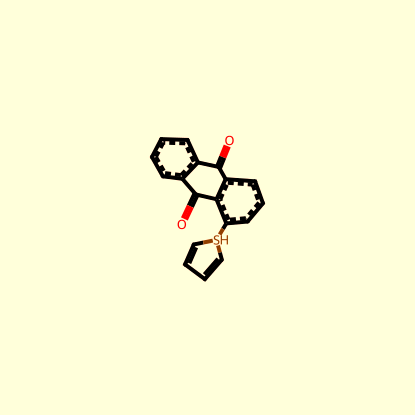 O=C1c2ccccc2C(=O)c2c1cccc2[SH]1C=CC=C1